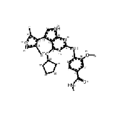 CNC(=O)c1ccc(Nc2nc(OC3CCCC3)c3c(-c4c(C)noc4C)c[nH]c3n2)c(OC)c1